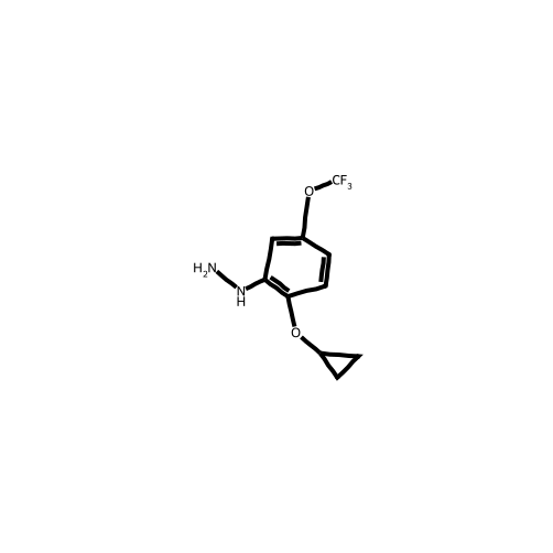 NNc1cc(OC(F)(F)F)ccc1OC1CC1